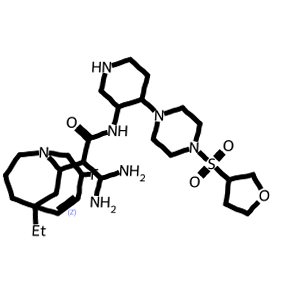 CCC12/C=C\C(F)CN(CCC1)C(C(C(=O)NC1CNCCC1N1CCN(S(=O)(=O)C3CCOC3)CC1)C(N)N)C2